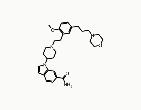 COc1ccc(CCCN2CCOCC2)cc1CCN1CCC(n2ccc3ccc(C(N)=O)cc32)CC1